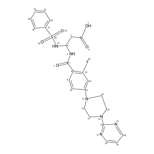 O=C(O)CC(NC(=O)c1ccc(N2CCN(c3ncccn3)CC2)cc1F)NS(=O)(=O)c1ccccc1